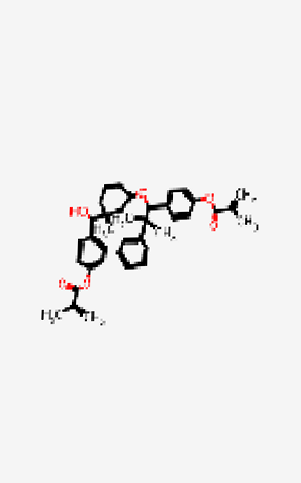 C=C(C)C(=O)Oc1ccc(C(O)C2(C)CCCC(OC(c3ccc(OC(=O)C(=C)C)cc3)C(C)(C)c3ccccc3)C2)cc1